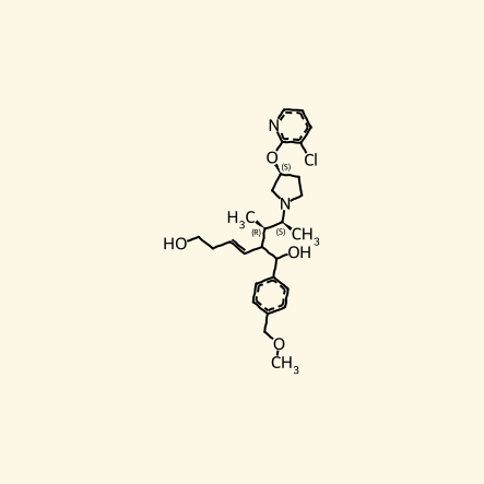 COCc1ccc(C(O)C(C=CCCO)[C@@H](C)[C@H](C)N2CC[C@H](Oc3ncccc3Cl)C2)cc1